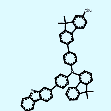 CC(C)(C)c1ccc2c(c1)C(C)(C)c1ccc(-c3ccc(N(c4ccc(-c5ccc6c(c5)sc5ccccc56)cc4)c4cccc5c4-c4ccccc4C5(C)C)cc3)cc1-2